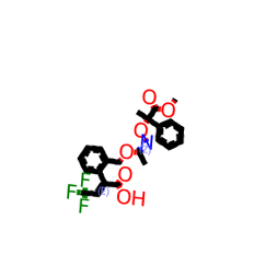 COC(=O)C(C)(O/N=C(/C)OCc1ccccc1/C(=C\C(F)(F)F)C(=O)O)c1ccccc1